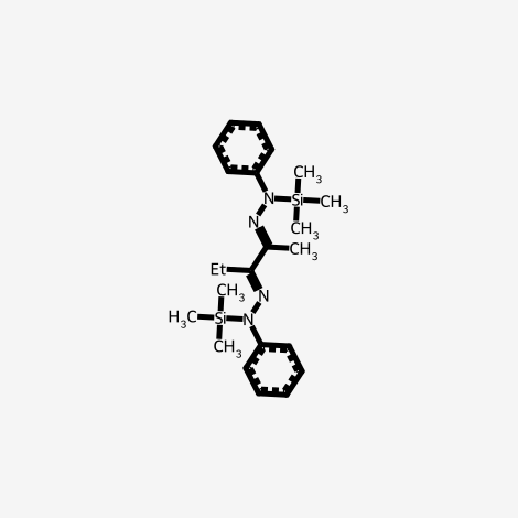 CCC(=N\N(c1ccccc1)[Si](C)(C)C)/C(C)=N/N(c1ccccc1)[Si](C)(C)C